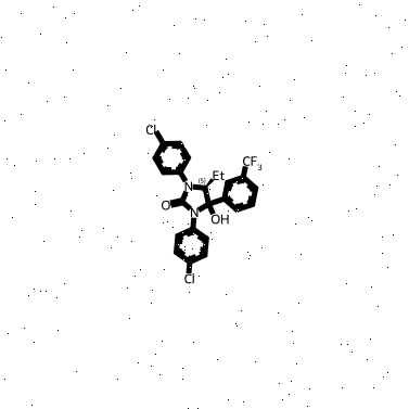 CC[C@@H]1N(c2ccc(Cl)cc2)C(=O)N(c2ccc(Cl)cc2)C1(O)c1cccc(C(F)(F)F)c1